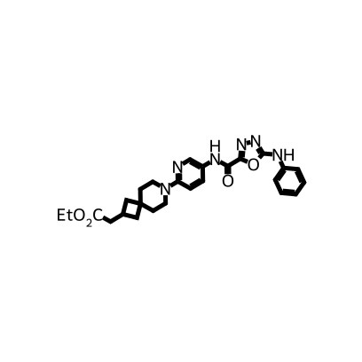 CCOC(=O)CC1CC2(CCN(c3ccc(NC(=O)c4nnc(Nc5ccccc5)o4)cn3)CC2)C1